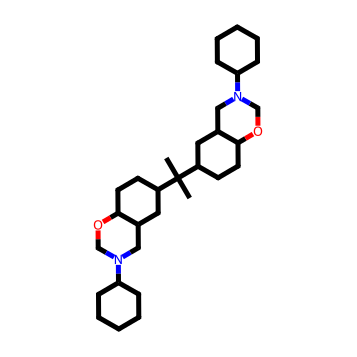 CC(C)(C1CCC2OCN(C3CCCCC3)CC2C1)C1CCC2OCN(C3CCCCC3)CC2C1